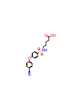 N#Cc1ccc(Oc2ccc(S(=O)(=O)NCCCCC(=O)O)cc2)cc1